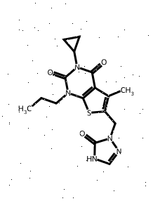 CCCn1c(=O)n(C2CC2)c(=O)c2c(C)c(Cn3nc[nH]c3=O)sc21